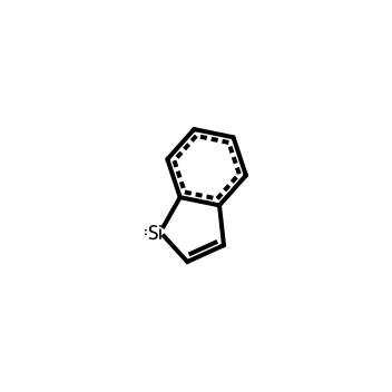 C1=Cc2ccccc2[Si]1